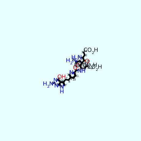 Nc1nc(O)c2c(CCc3ccc(C(=O)N[C@@H](CCC(=O)O)C(=O)C(C[C@H](N)C(=O)O)(C(=O)O)C(=O)[C@@H](N)CCC(=O)O)nc3)c[nH]c2n1